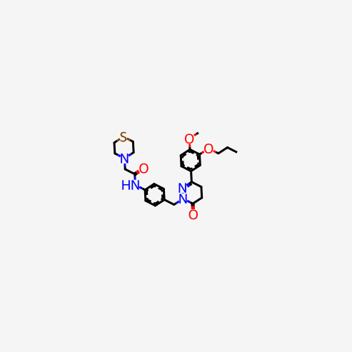 CCCOc1cc(C2=NN(Cc3ccc(NC(=O)CN4CCSCC4)cc3)C(=O)CC2)ccc1OC